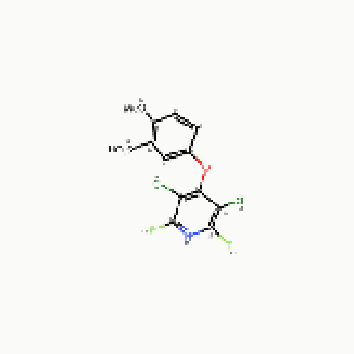 COc1ccc(Oc2c(Cl)c(F)nc(F)c2Cl)cc1S(=O)(=O)O